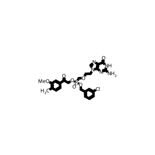 COc1cc(C(=O)COP(=O)(COCCn2cnc3c(=O)[nH]c(N)nc32)OCc2cccc(Cl)c2)ccc1C